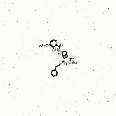 COc1ccnc(C(=O)N[C@@H]2CC3CC2[C@@H](C(=O)OCCc2ccccc2)[C@H]3C(=O)OCC(C)C)c1O